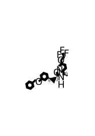 C[C@@H](NC(=O)[C@@H]1C[C@H]1c1cccc(OCc2ccccc2)c1)c1ccc(OCC(F)(F)F)cn1